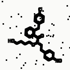 O=NC1C=CC(CCN(OCCCCO)C(=O)c2ccccc2Cc2ccc(Cl)cc2)=CC1